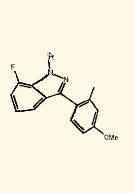 COc1ccc(-c2nn(C(C)C)c3c(F)cccc23)c(C)c1